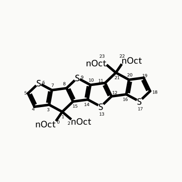 CCCCCCCCC1(CCCCCCCC)c2ccsc2-c2sc3c4c(sc3c21)-c1sccc1C4(CCCCCCCC)CCCCCCCC